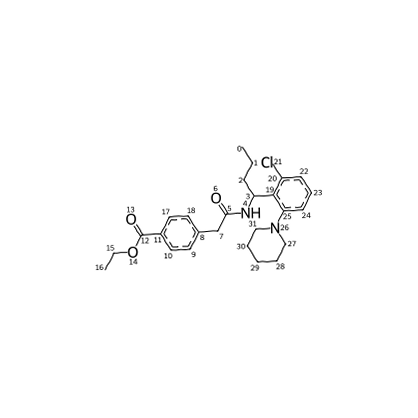 CCCC(NC(=O)Cc1ccc(C(=O)OCC)cc1)c1c(Cl)cccc1N1CCCCC1